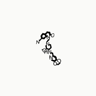 CO[C@@H]1CN(CCn2c(=O)ccc3ccc(C#N)cc32)CC[C@H]1NCc1cc2c(cn1)OCCO2